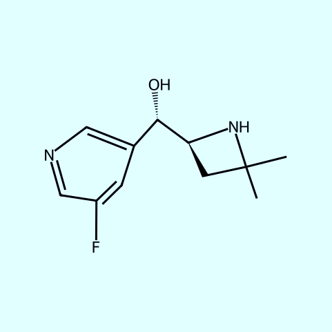 CC1(C)C[C@@H]([C@@H](O)c2cncc(F)c2)N1